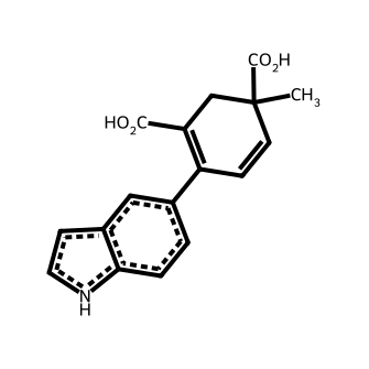 CC1(C(=O)O)C=CC(c2ccc3[nH]ccc3c2)=C(C(=O)O)C1